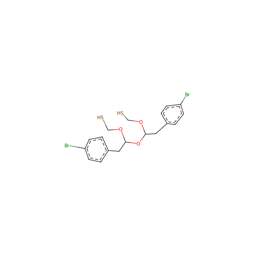 SCOC(Cc1ccc(Br)cc1)OC(Cc1ccc(Br)cc1)OCS